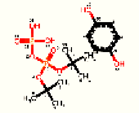 CC(C)(C)OP(=O)(OC(C)(C)C)OP(=O)(O)O.Oc1ccc(O)cc1